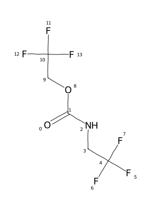 O=C(NCC(F)(F)F)OCC(F)(F)F